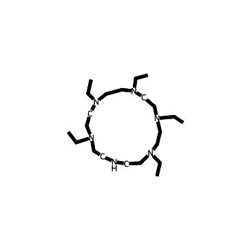 CCN1CCNCCN(CC)CCN(CC)CCN(CC)CCN(CC)CC1